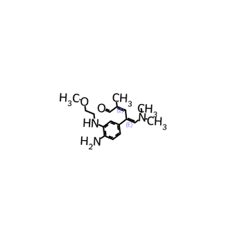 COCCNc1cc(C(/C=C(/C)C=O)=C/N(C)C)ccc1N